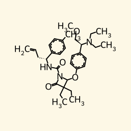 C=CC[C@@H](NC(=O)N1C(=O)C(CC)(CC)C1Oc1ccc([C@@H](COC)N(CC)CC)cc1)c1ccc(C)cc1